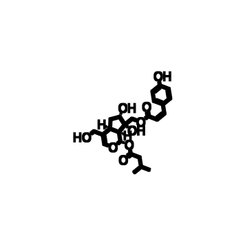 CC(C)CC(=O)O[C@@H]1OC=C(CO)[C@H]2C[C@H](O)[C@](O)(COC(=O)/C=C\c3ccc(O)cc3)[C@@H]12